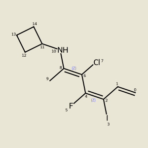 C=C/C(I)=C(F)\C(Cl)=C(/C)NC1CCC1